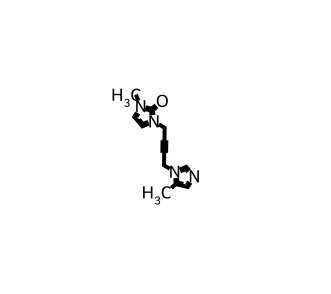 Cc1cncn1CC#CCn1ccn(C)c1=O